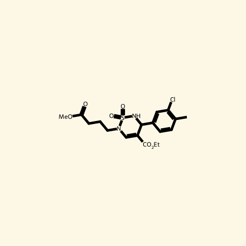 CCOC(=O)C1=CN(CCCC(=O)OC)S(=O)(=O)NC1c1ccc(C)c(Cl)c1